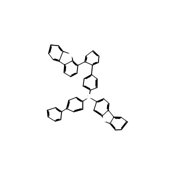 c1ccc(-c2ccc(N(c3ccc(-c4ccccc4-c4cccc5c4oc4ccccc45)cc3)c3ccc4c(c3)sc3ccccc34)cc2)cc1